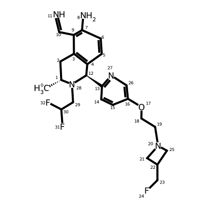 C[C@@H]1Cc2c(ccc(N)c2C=N)[C@@H](c2ccc(OCCN3CC(CF)C3)cn2)N1CC(F)F